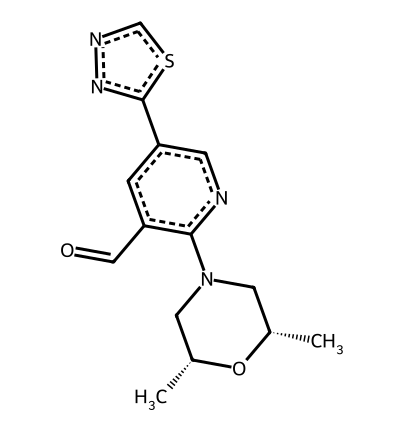 C[C@@H]1CN(c2ncc(-c3nncs3)cc2C=O)C[C@H](C)O1